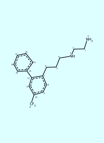 NCCNCCCc1ccc(C(F)(F)F)cc1-c1ccccc1